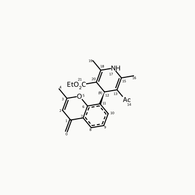 C=C1C=C(C)Oc2c1cccc2[C@@H]1C(C(C)=O)=C(C)NC(C)=C1C(=O)OCC